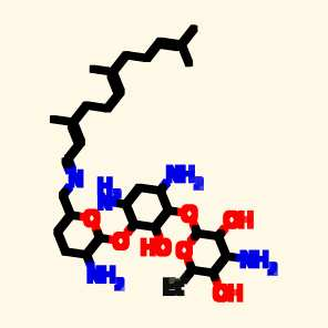 CCC1OC(OC2C(N)CC(N)C(OC3OC(C/N=C/C=C(\C)CC/C=C(\C)CCC=C(C)C)CCC3N)C2O)C(O)C(N)C1O